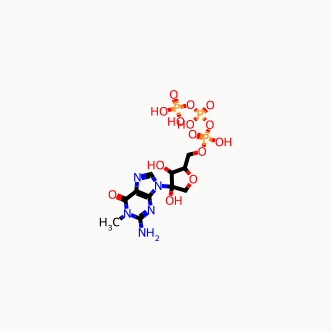 Cn1c(N)nc2c(ncn2C2(O)COC(COP(=O)(O)OP(=O)(O)OP(=O)(O)O)C2O)c1=O